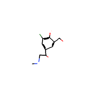 CC(C)(C)NCC(O)c1cc(Cl)c(O)c(CO)c1